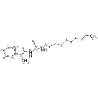 CCCCCCCCCCNC(=S)NN=C(C)c1ccccn1